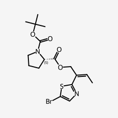 CC=C(COC(=O)[C@@H]1CCCN1C(=O)OC(C)(C)C)c1ncc(Br)s1